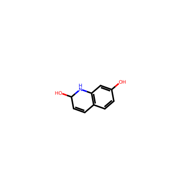 Oc1ccc2c(c1)NC(O)C=C2